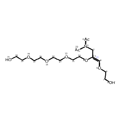 CC(=O)N(C/C(=C/OCCO)OCCOCCOCCOCCO)C(C)=O